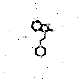 Cl.O=c1[nH]c2ccccc2n1CCN1CCOCC1